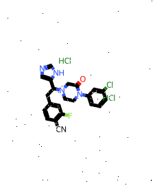 Cl.Cl.N#Cc1ccc(CC(c2cnc[nH]2)N2CCN(c3cccc(Cl)c3)C(=O)C2)cc1F